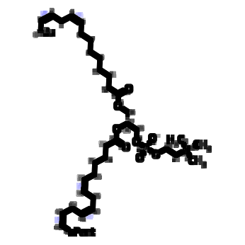 CCCC/C=C\C/C=C\CCCCCCCC(=O)OC[C@H](COP(=O)([O-])OCC[N+](C)(C)C)OC(=O)CCCC/C=C\C/C=C\C/C=C\CCCCC